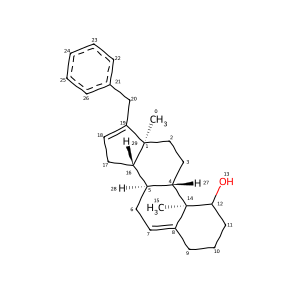 C[C@]12CC[C@H]3[C@@H](CC=C4CCCC(O)[C@@]43C)[C@@H]1CC=C2Cc1ccccc1